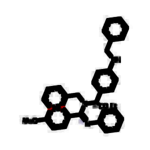 CCOC(=O)[C@@H](c1ccc(NCc2ccccc2)cc1)N(Cc1ccccc1)/C(=N\c1ccccc1)c1ccc(OC)cc1